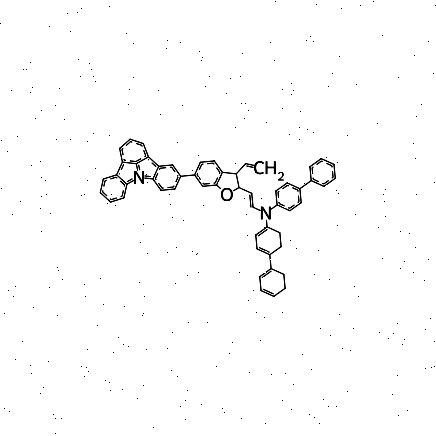 C=CC1c2ccc(-c3ccc4c(c3)c3cccc5c6ccccc6n4c53)cc2OC1/C=C/N(C1=CC=C(C2=CC=CCC2)CC1)c1ccc(-c2ccccc2)cc1